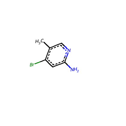 Cc1cnc(N)cc1Br